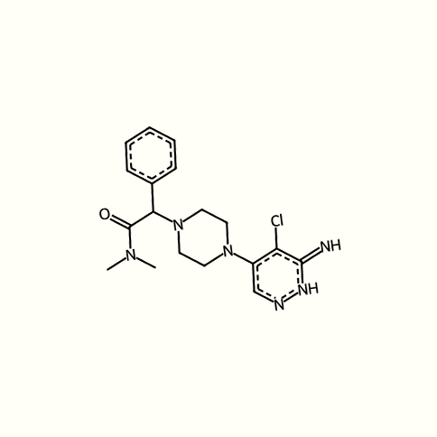 CN(C)C(=O)C(c1ccccc1)N1CCN(c2cn[nH]c(=N)c2Cl)CC1